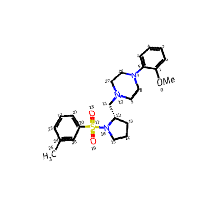 COc1ccccc1N1CCN(C[C@@H]2CCCN2S(=O)(=O)c2cccc(C)c2)CC1